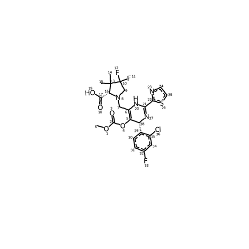 COC(=O)OC1=C(CN2CC(F)(F)C(C)(C)[C@H]2C(=O)O)NC(c2nccs2)=N[C@@H]1c1ccc(F)cc1Cl